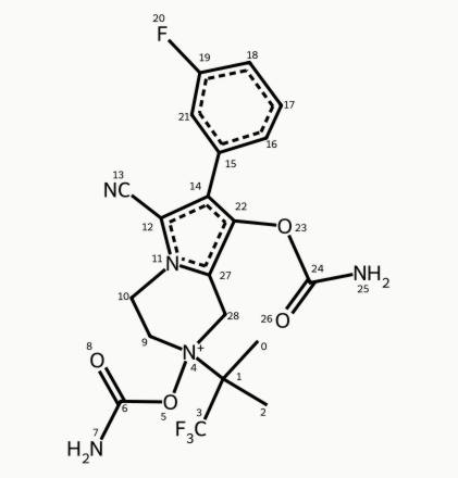 CC(C)(C(F)(F)F)[N+]1(OC(N)=O)CCn2c(C#N)c(-c3cccc(F)c3)c(OC(N)=O)c2C1